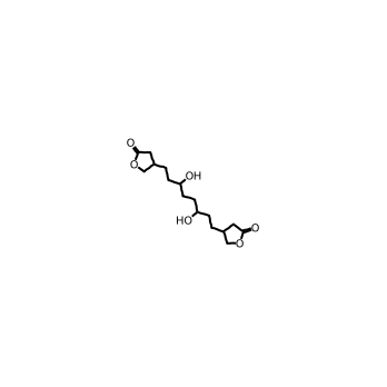 O=C1CC(CCC(O)CCC(O)CCC2COC(=O)C2)CO1